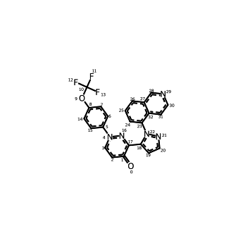 O=c1ccn(-c2ccc(OC(F)(F)F)cc2)nc1-c1ccnn1-c1cccc2cnccc12